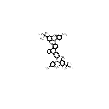 Cc1ccc(N(c2ccc3c(c2)C24CCCC2(CCC4)c2cc(N(c4ccc(C)cc4)c4c(C)cc(C(C)(C)C)cc4C)ccc2-3)c2c(C)cc(C(C)(C)C)cc2C)cc1